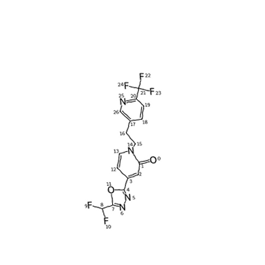 O=c1cc(-c2nnc(C(F)F)o2)ccn1CCc1ccc(C(F)(F)F)nc1